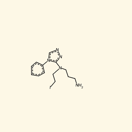 NCCCN(CCI)c1nncn1-c1ccccc1